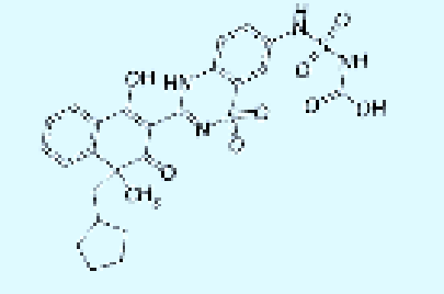 CC1(CC2CCCC2)C(=O)C(C2=NS(=O)(=O)c3cc(NS(=O)(=O)NC(=O)O)ccc3N2)=C(O)c2ccccc21